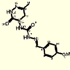 COc1ccc(/C=N/NC(=O)NN2CC(C)=NNC2=O)cc1